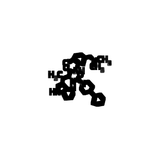 C[C@@H](c1c[nH]c2ccccc12)[C@@H](NC(=O)N1CCC(c2ccccc2)CC1)C(=O)Nc1cc(CN(C)C)ccc1Cl